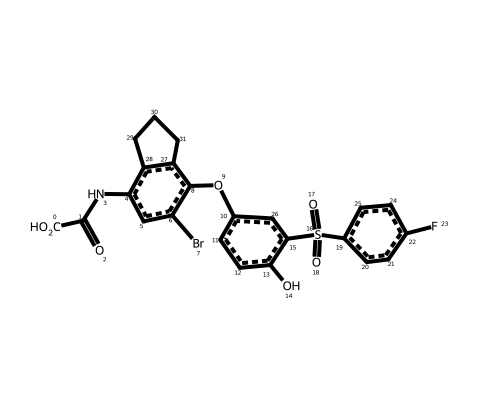 O=C(O)C(=O)Nc1cc(Br)c(Oc2ccc(O)c(S(=O)(=O)c3ccc(F)cc3)c2)c2c1CCC2